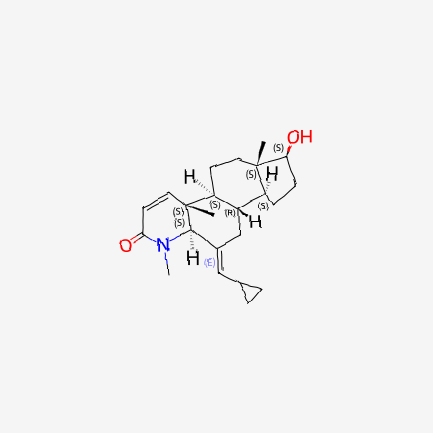 CN1C(=O)C=C[C@]2(C)[C@H]3CC[C@]4(C)[C@@H](O)CC[C@H]4[C@@H]3C/C(=C\C3CC3)[C@@H]12